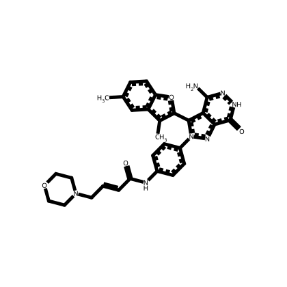 Cc1ccc2oc(-c3c4c(N)n[nH]c(=O)c4nn3-c3ccc(NC(=O)/C=C/CN4CCOCC4)cc3)c(C)c2c1